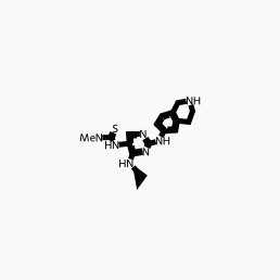 CNC(=S)Nc1cnc(Nc2ccc3c(c2)CCNC3)nc1NC1CC1